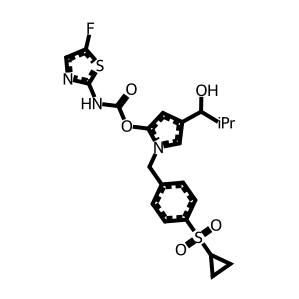 CC(C)C(O)c1cc(OC(=O)Nc2ncc(F)s2)n(Cc2ccc(S(=O)(=O)C3CC3)cc2)c1